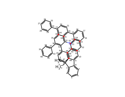 CC1(C)c2ccccc2-c2ccc(N(c3ccccc3-c3ccc(-c4ccccc4)cc3)c3cccc(-c4ccccc4)c3-c3ccccc3-c3ccccc3)cc21